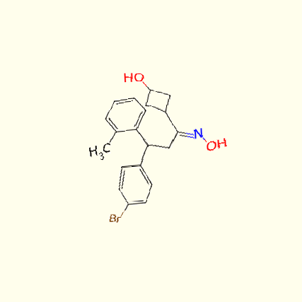 Cc1ccccc1C(C/C(=N\O)C1CC(O)C1)c1ccc(Br)cc1